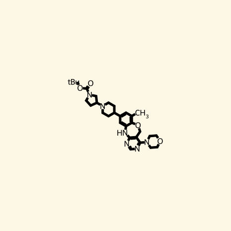 Cc1cc(C2CCN(C3CCN(C(=O)OC(C)(C)C)C3)CC2)cc2c1OCc1c(ncnc1N1CCOCC1)N2